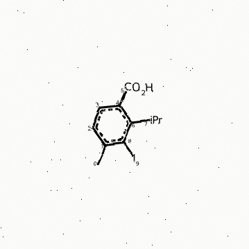 Cc1ccc(C(=O)O)c(C(C)C)c1I